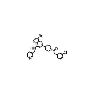 O=C(Cc1cccc(Cl)c1)N1CCC(c2cc(NCc3cccnc3)n3ncc(Br)c3n2)CC1